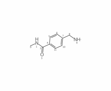 CNC(=O)c1ccc(C[NH])cc1